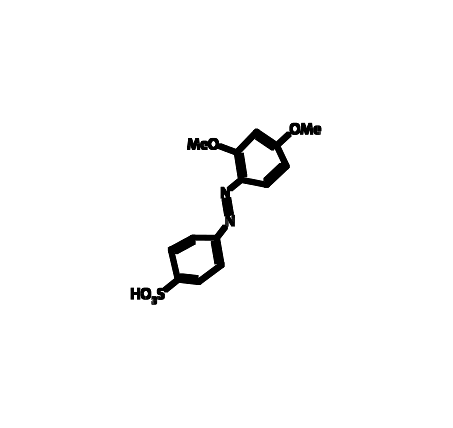 COc1ccc(/N=N/c2ccc(S(=O)(=O)O)cc2)c(OC)c1